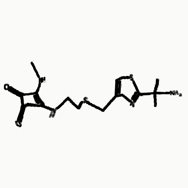 CNc1c(NCCSCc2csc(C(C)(C)N)n2)c(=O)c1=O